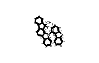 CC1(C)c2ccccc2-c2ccc3c4ccccc4n(-c4cccc5sc6ccccc6c45)c3c21